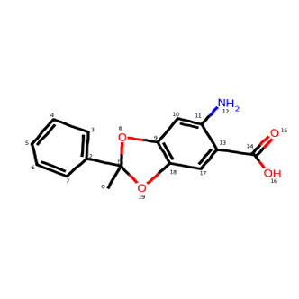 CC1(c2ccccc2)Oc2cc(N)c(C(=O)O)cc2O1